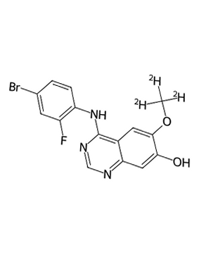 [2H]C([2H])([2H])Oc1cc2c(Nc3ccc(Br)cc3F)ncnc2cc1O